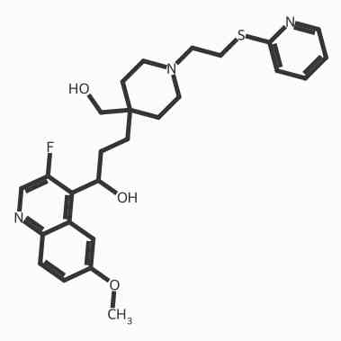 COc1ccc2ncc(F)c(C(O)CCC3(CO)CCN(CCSc4ccccn4)CC3)c2c1